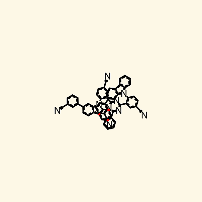 N#Cc1cccc(-c2ccc3c4ccccc4n(-c4ccc(C#N)cc4-c4nc(-c5ccccc5)nc(-c5cc(C#N)ccc5-n5c6ccccc6c6ccc(-c7cccc(C#N)c7)cc65)n4)c3c2)c1